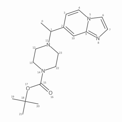 CC(c1ccn2ccnc2c1)N1CCN(C(=O)OC(C)(C)C)CC1